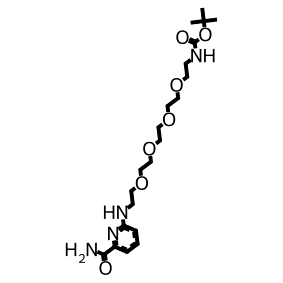 CC(C)(C)OC(=O)NCCOCCOCCOCCOCCNc1cccc(C(N)=O)n1